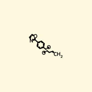 C=CCS(=O)(=O)c1ccc(-c2ncco2)cc1